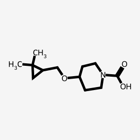 CC1(C)CC1COC1CCN(C(=O)O)CC1